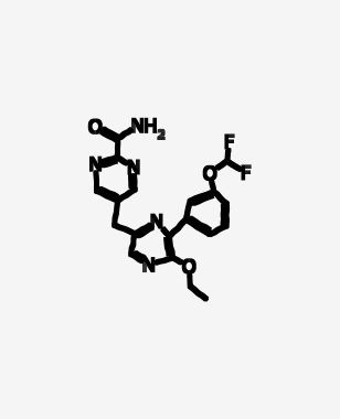 CCOc1ncc(Cc2cnc(C(N)=O)nc2)nc1-c1cccc(OC(F)F)c1